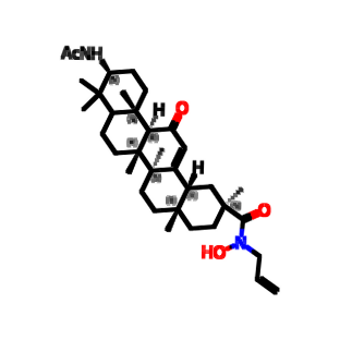 C=CCN(O)C(=O)[C@@]1(C)CC[C@]2(C)CC[C@]3(C)C(=CC(=O)[C@@H]4[C@@]5(C)CC[C@H](NC(C)=O)C(C)(C)C5CC[C@]43C)[C@@H]2C1